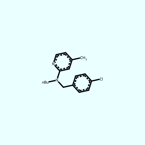 CCCCN(Cc1ccc(Cl)cc1)c1cc(C)ccn1